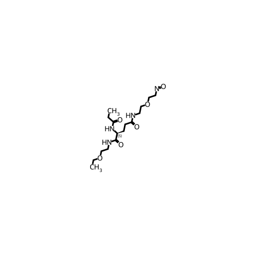 CCOCCNC(=O)[C@H](CCC(=O)NCCOCCN=O)NC(=O)CC